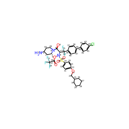 NC1CCN(C(=O)[C@H](N(OC(=O)C(F)(F)F)S(=O)(=O)c2ccc(OCC3CCCCC3)cc2)C(F)(F)c2ccc(-c3ccc(Cl)cc3)cc2)CC1